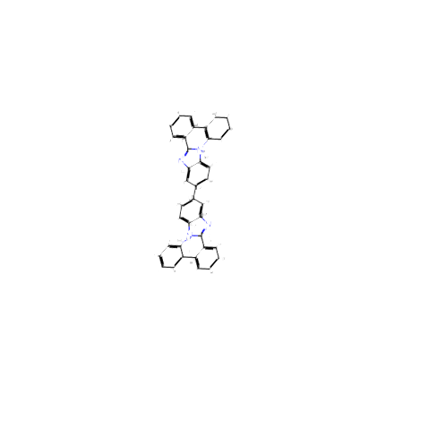 C1=Cc2c(c3ccccc3c3nc4cc(-c5ccc6c(c5)nc5c7ccccc7c7ccccc7n65)ccc4n23)CC1